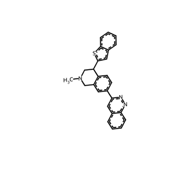 CN1Cc2cc(-c3cc4ccccc4nn3)ccc2C(c2cc3ccccc3s2)C1